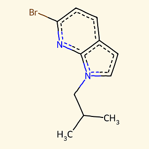 CC(C)Cn1ccc2ccc(Br)nc21